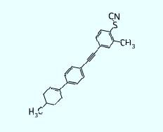 Cc1cc(C#Cc2ccc(C3=CCC(C)CC3)cc2)ccc1SC#N